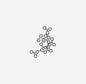 c1ccc(-c2cccc(-c3ccccc3)c2-c2cc(-c3cccc(-n4c5cc(-c6ccc7c(c6)c6ccccc6n7-c6ccccc6)ccc5c5ccc(-c6ccc7c(c6)c6ccccc6n7-c6ccccc6)cc54)c3)nc(-n3c4cc(-c5ccc6c(c5)c5ccccc5n6-c5ccccc5)ccc4c4ccc(-c5ccc6c(c5)c5ccccc5n6-c5ccccc5)cc43)n2)cc1